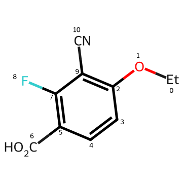 CCOc1ccc(C(=O)O)c(F)c1C#N